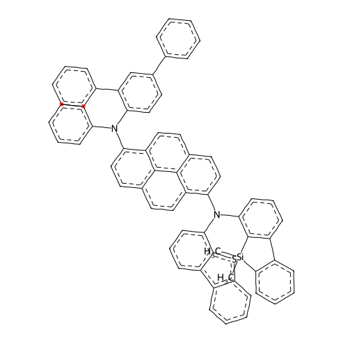 C[Si]1(C)c2ccccc2-c2cccc(N(c3ccc4ccc5c(N(c6ccccc6)c6ccc(-c7ccccc7)cc6-c6ccccc6)ccc6ccc3c4c65)c3cccc4c3sc3ccccc34)c21